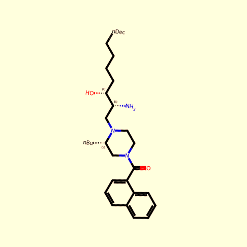 CCCCCCCCCCCCCC[C@@H](O)[C@H](N)CN1CCN(C(=O)c2cccc3ccccc23)C[C@@H]1CCCC